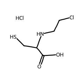 Cl.O=C(O)C(CS)NCCCl